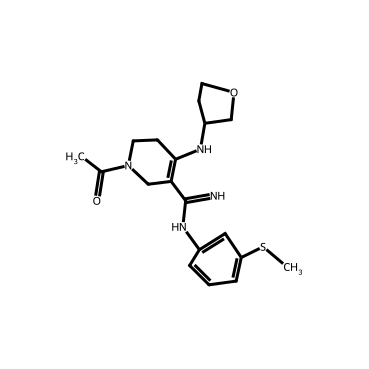 CSc1cccc(NC(=N)C2=C(NC3CCOC3)CCN(C(C)=O)C2)c1